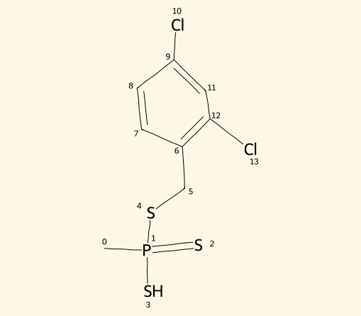 CP(=S)(S)SCc1ccc(Cl)cc1Cl